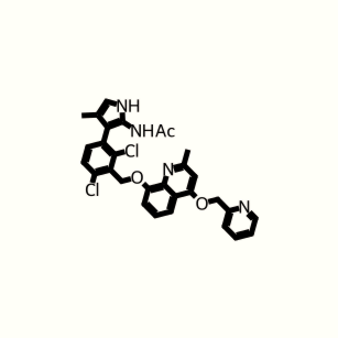 CC(=O)Nc1[nH]cc(C)c1-c1ccc(Cl)c(COc2cccc3c(OCc4ccccn4)cc(C)nc23)c1Cl